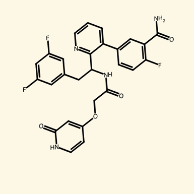 NC(=O)c1cc(-c2cccnc2C(Cc2cc(F)cc(F)c2)NC(=O)COc2cc[nH]c(=O)c2)ccc1F